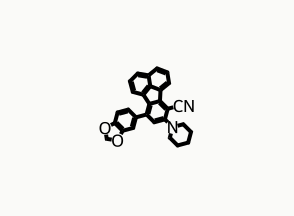 N#Cc1c(N2CCCCC2)cc(-c2ccc3c(c2)OCO3)c2c1-c1cccc3cccc-2c13